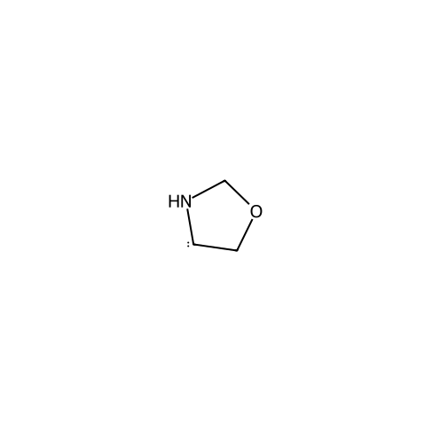 [C]1COCN1